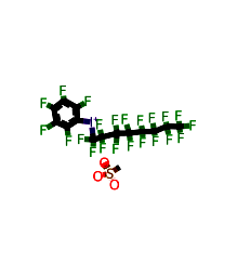 CS(=O)(=O)[O-].Fc1c(F)c(F)c([I+]C(F)(F)C(F)(F)C(F)(F)C(F)(F)C(F)(F)C(F)(F)C(F)(F)C(F)(F)F)c(F)c1F